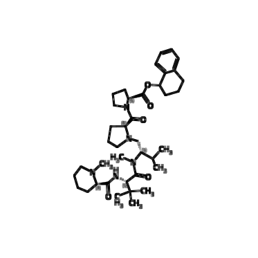 CC(C)[C@@H](CN1CCC[C@H]1C(=O)N1CCC[C@H]1C(=O)OC1CCCc2ccccc21)N(C)C(=O)[C@@H](NC(=O)[C@H]1CCCCN1C)C(C)(C)C